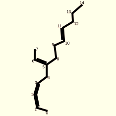 CC=C=CCC(=CC)CCC=CCCC